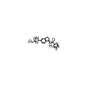 COCc1nc(-c2ccc3c(c2)CC[C@H]3NC(=O)c2nnn(C)n2)no1